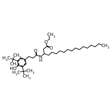 CCCCCCCCCCCCCCCC(CC(=O)OCC)NC(=O)CCc1cc(C(C)(C)C)c(O)c(C(C)(C)C)c1